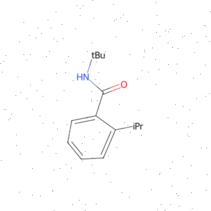 CC(C)c1ccccc1C(=O)NC(C)(C)C